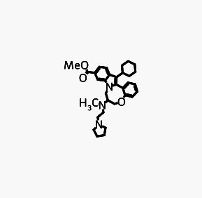 COC(=O)c1ccc2c(C3CCCCC3)c3n(c2c1)CC(N(C)CCN1CCCC1)COc1ccccc1-3